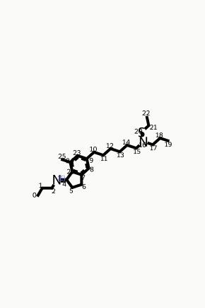 CCC/N=C1\CCc2cc(CCCCCCN(CCC)SCC)cc(C)c21